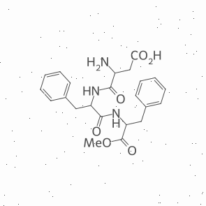 COC(=O)C(Cc1ccccc1)NC(=O)C(Cc1ccccc1)NC(=O)C(N)CC(=O)O